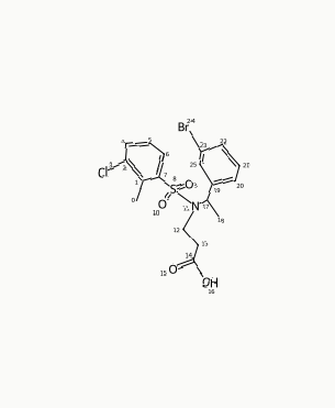 Cc1c(Cl)cccc1S(=O)(=O)N(CCC(=O)O)C(C)c1cccc(Br)c1